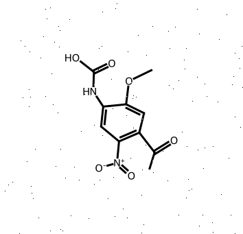 COc1cc(C(C)=O)c([N+](=O)[O-])cc1NC(=O)O